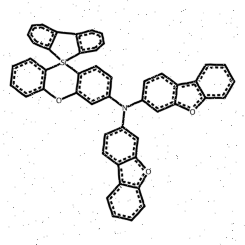 c1ccc2c(c1)Oc1cc(N(c3ccc4c(c3)oc3ccccc34)c3ccc4c(c3)oc3ccccc34)ccc1[Si]21c2ccccc2-c2ccccc21